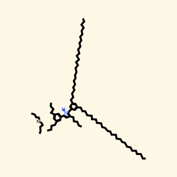 CCCCCCCCCCCCCCCCCCCCCCCCCCCc1cc(CCCCCCCCCCCCCCCCCCCCCCCCCCC)cc(C2=C(CCCCC)C=C(c3cc(CCCC)cc(CCCC)c3)[N+]2=[N-])c1.CCC[CH2][Ni][CH2]CCC